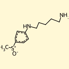 C[S+]([O-])c1ccc(NCCCCCN)cc1